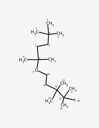 CC(C)(C)CCC(C)(C)OCCC(C)(C)C(C)(C)I